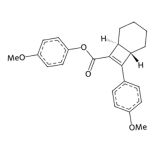 COc1ccc(OC(=O)C2=C(c3ccc(OC)cc3)[C@H]3CCCC[C@H]23)cc1